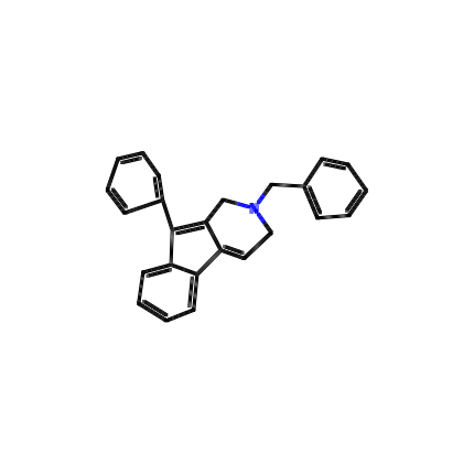 C1=C2C(=C(c3ccccc3)c3ccccc32)CN(Cc2ccccc2)C1